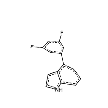 Fc1cc(F)cc(-c2cccc3[nH]ccc23)c1